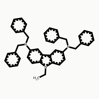 CCn1c2ccc(N(Cc3ccccc3)Cc3ccccc3)cc2c2cc(N(Cc3ccccc3)Cc3ccccc3)ccc21